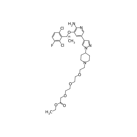 CCOC(=O)COCCOCCOCCN1CCC(n2cc(-c3cnc(N)c(O[C@H](C)c4c(Cl)ccc(F)c4Cl)c3)cn2)CC1